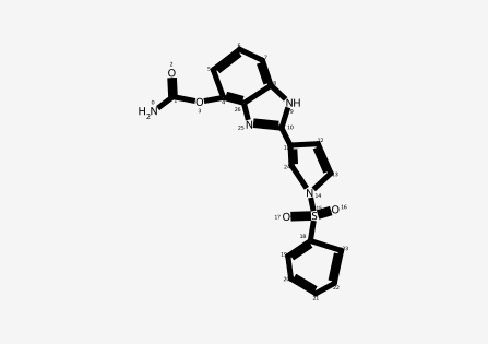 NC(=O)Oc1cccc2[nH]c(-c3ccn(S(=O)(=O)c4ccccc4)c3)nc12